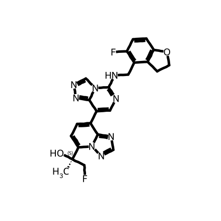 C[C@@](O)(CF)c1ccc(-c2cnc(NCc3c(F)ccc4c3CCO4)n3cnnc23)c2ncnn12